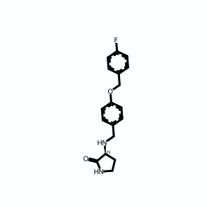 O=C1NCC[C@@H]1NCc1ccc(OCc2ccc(F)cc2)cc1